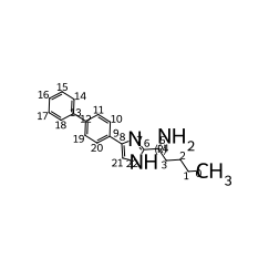 CCCC[C@@H](N)c1nc(-c2ccc(-c3ccccc3)cc2)c[nH]1